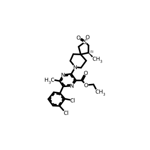 CCOC(=O)c1nc(-c2cccc(Cl)c2Cl)c(C)nc1N1CCC2(CC1)CS(=O)(=O)C[C@H]2C